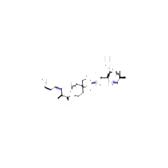 C=C(C(=O)N1CCC2(CC1)CN/C(=N\C(=O)C(/N=C(/Cl)C(=C)N)=C(N)N)N2)/C(O)=C\C=C/N